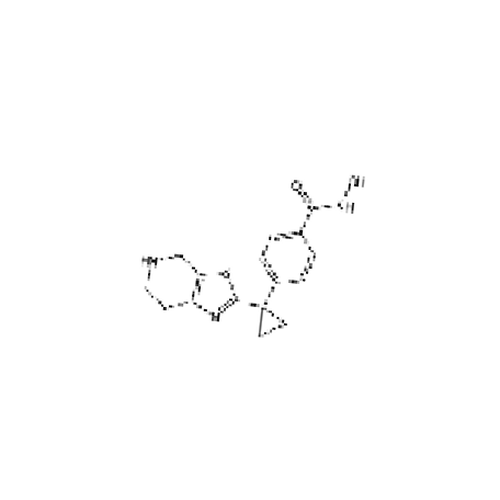 O=C(NO)c1ccc(C2(c3nc4c(s3)CNCC4)CC2)cc1